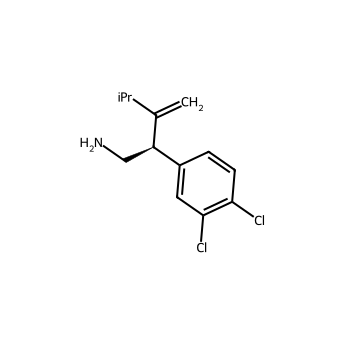 C=C(C(C)C)[C@H](CN)c1ccc(Cl)c(Cl)c1